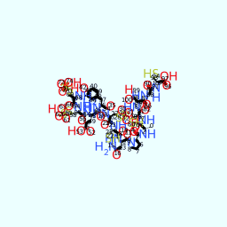 C[C@H](NC(=O)[C@@H]1CCCN1C(=O)[C@H](CC(N)=O)NC(=O)[C@H](CS)NC(=O)[C@H](CSS(=O)(=O)O)NC(=O)[C@H](Cc1ccc(O)cc1)NC(=O)[C@H](CCC(=O)O)NC(=O)[C@H](CSS(=O)(=O)O)NC(=O)[C@@H](N)CSS(=O)(=O)O)C(=O)N[C@@H](CS)C(=O)N[C@H](C(=O)NCC(=O)N[C@@H](CS)C(=O)O)[C@@H](C)O